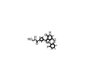 N#CCNC(=O)c1cc(-c2nn(-c3c(F)cccc3F)c3c(Cl)c[nH]c(=O)c23)cs1